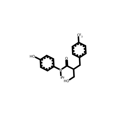 CC(C)N(C(=O)C(CO)Cc1ccc(C(F)(F)F)cc1)c1ccc(O)cc1